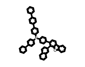 c1ccc(-c2ccc(-c3ccc(N(c4ccc(-c5ccccc5)cc4)c4ccc(-c5ccc6c(oc7ccccc76)c5-c5ccc6ccccc6c5)cc4)cc3)cc2)cc1